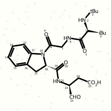 CC[C@H](C)[C@H](NC(C)(C)C)C(=O)NCC(=O)N1c2ccccc2C[C@H]1C(=O)N[C@H](C=O)CC(=O)O